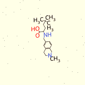 CN1CCc2cc(CNC(CCC(C)(C)C)C(=O)O)ccc2C1